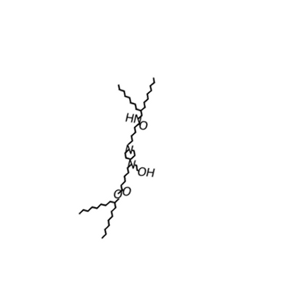 CCCCCCCCC(CCCCCCCC)CNC(=O)CCCCCN1CCC(N(CCO)CCCCCC(=O)OCC(CCCCCCCC)CCCCCCCC)CC1